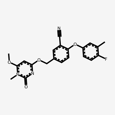 COc1cc(OCc2ccc(Oc3ccc(F)c(C)c3)c(C#N)c2)nc(=O)n1C